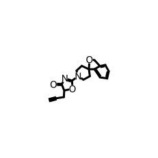 C#CCC1OC(N2CCC3(CC2)OCc2ccccc23)=NC1=O